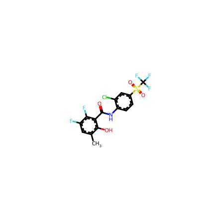 Cc1cc(F)c(F)c(C(=O)Nc2ccc(S(=O)(=O)C(F)(F)F)cc2Cl)c1O